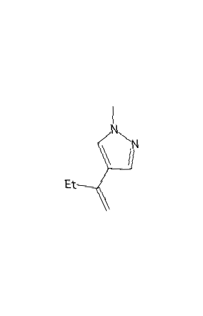 C=C(CC)c1cnn(C)c1